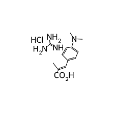 C/C(=C\c1ccc(N(C)C)cc1)C(=O)O.Cl.N=C(N)N